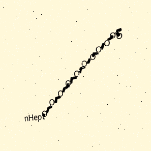 C=CC(=O)OCCOCCOCCOCCOCCCOCCCOCCCOCCCOCCCOCCCCCCC